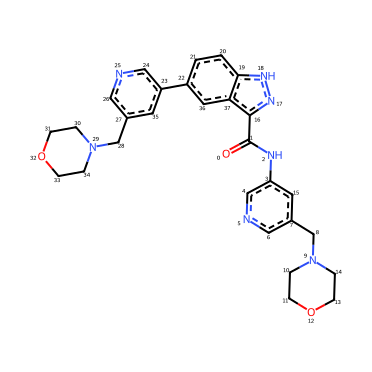 O=C(Nc1cncc(CN2CCOCC2)c1)c1n[nH]c2ccc(-c3cncc(CN4CCOCC4)c3)cc12